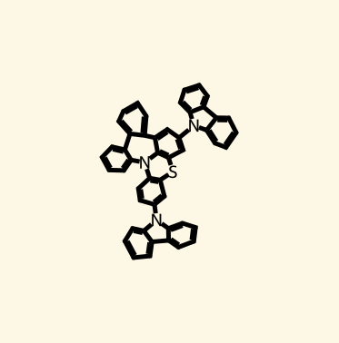 c1ccc2c(c1)-c1ccccc1N1c3ccc(-n4c5ccccc5c5ccccc54)cc3Sc3cc(-n4c5ccccc5c5ccccc54)cc-2c31